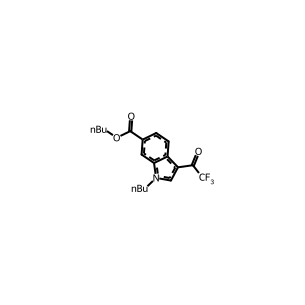 CCCCOC(=O)c1ccc2c(C(=O)C(F)(F)F)cn(CCCC)c2c1